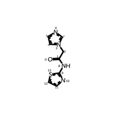 O=C(Cn1ccnc1)Nc1nccs1